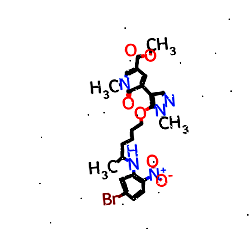 COC(=O)c1cc(-c2cnn(C)c2OCCCCC(C)Nc2cc(Br)ccc2[N+](=O)[O-])c(=O)n(C)c1